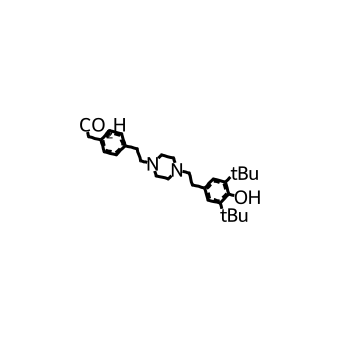 CC(C)(C)c1cc(CCN2CCN(CCc3ccc(CC(=O)O)cc3)CC2)cc(C(C)(C)C)c1O